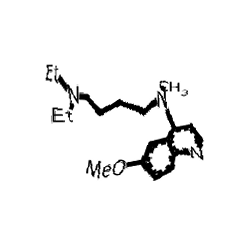 CCN(CC)CCCCN(C)c1ccnc2ccc(OC)cc12